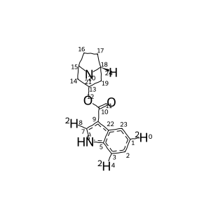 [2H]c1cc([2H])c2[nH]c([2H])c(C(=O)OC3CC4CC[C@H](C3)N4C)c2c1